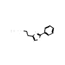 CCOC(=O)CCc1csc(-c2ccccc2)n1